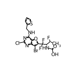 C[C@H](F)[C@H](NC(=O)O)C(F)(F)c1oc2c(NCc3cccs3)nc(Cl)nc2c1Br